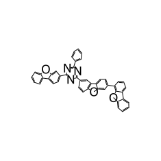 c1ccc(-c2nc(-c3ccc4c(c3)oc3ccccc34)nc(-c3ccc4oc5cc(-c6cccc7c6oc6ccccc67)ccc5c4c3)n2)cc1